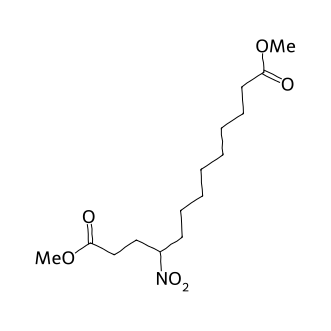 COC(=O)CCCCCCCCC(CCC(=O)OC)[N+](=O)[O-]